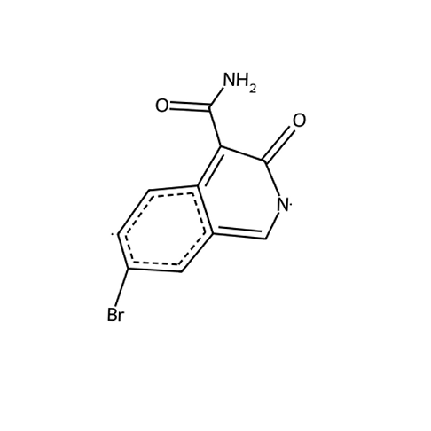 NC(=O)C1=c2c[c]c(Br)cc2=C[N]C1=O